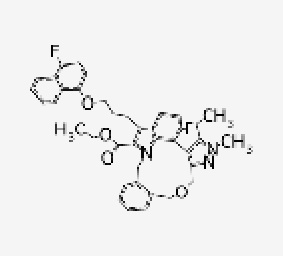 CCOC(=O)c1c(CCCOc2ccc(F)c3ccccc23)c2ccc(F)c3c2n1Cc1ccccc1COCc1nn(C)c(CC)c1-3